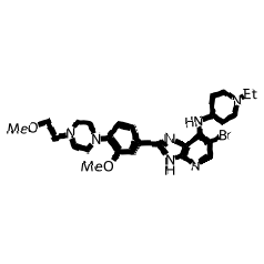 CCN1CCC(Nc2c(Br)cnc3[nH]c(-c4ccc(N5CCN(CCOC)CC5)c(OC)c4)nc23)CC1